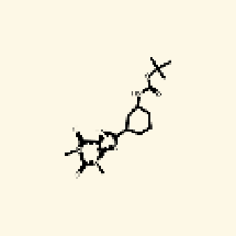 Cn1c(=O)c2[nH]c(C3CCCC(NC(=O)OC(C)(C)C)C3)nc2n(C)c1=O